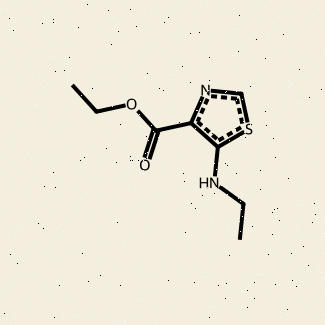 CCNc1scnc1C(=O)OCC